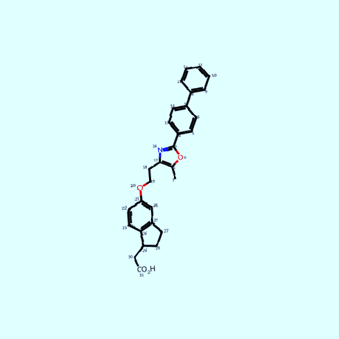 Cc1oc(-c2ccc(-c3ccccc3)cc2)nc1CCOc1ccc2c(c1)CCC2CC(=O)O